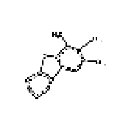 Cc1cc2c(c(C)c1C)[N]c1ccccc1-2